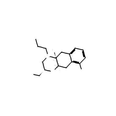 CCCN1C[C@H](CO)O[C@@H]2Cc3c(O)cccc3C[C@H]21